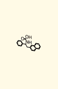 O=C(O)NC(Cc1ccc2ccccc2c1)c1ccccc1